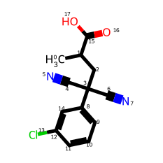 CC(CC(C#N)(C#N)c1cccc(Cl)c1)C(=O)O